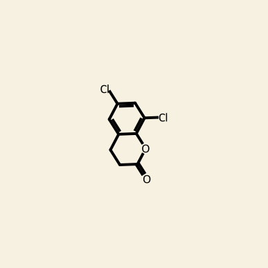 O=C1CCc2cc(Cl)cc(Cl)c2O1